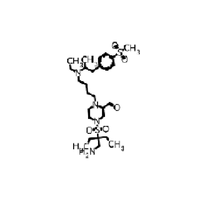 CCN(CCCCN1CCN(S(=O)(=O)C(CC)(CC)CN)CC1C=O)C(C)Cc1ccc(S(C)(=O)=O)cc1